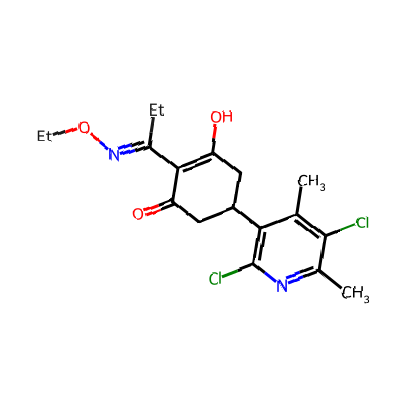 CCON=C(CC)C1=C(O)CC(c2c(Cl)nc(C)c(Cl)c2C)CC1=O